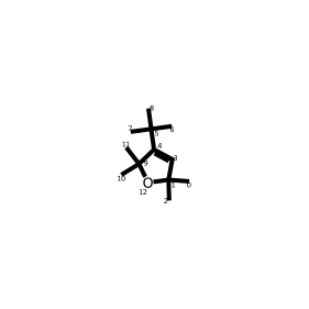 CC1(C)C=C(C(C)(C)C)C(C)(C)O1